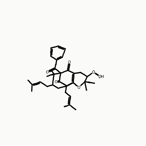 CC(C)=CCC1CC2(CC=C(C)C)C(=O)C(C(=O)c3ccccc3)(C(=O)C3=C2OC(C)(C)C(OO)C3)C1(C)C